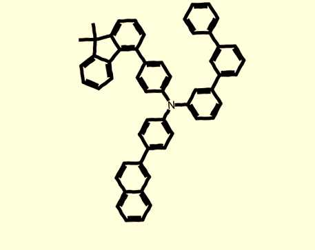 CC1(C)c2ccccc2-c2c(-c3ccc(N(c4ccc(-c5ccc6ccccc6c5)cc4)c4cccc(-c5cccc(-c6ccccc6)c5)c4)cc3)cccc21